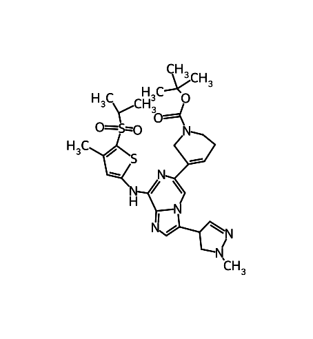 Cc1cc(Nc2nc(C3=CCCN(C(=O)OC(C)(C)C)C3)cn3c(C4C=NN(C)C4)cnc23)sc1S(=O)(=O)C(C)C